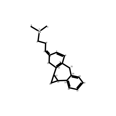 CN(C)CCC=C1C=CC2=C(C1)C1CC1c1ccccc1C2